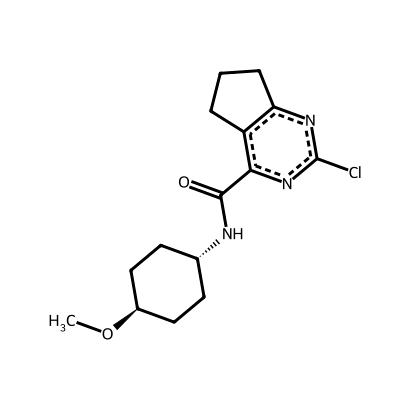 CO[C@H]1CC[C@H](NC(=O)c2nc(Cl)nc3c2CCC3)CC1